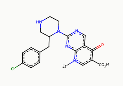 CCn1cc(C(=O)O)c(=O)c2cnc(N3CCNCC3Cc3ccc(Cl)cc3)nc21